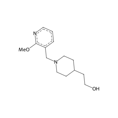 COc1ncccc1CN1CCC(CCO)CC1